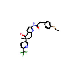 CCSc1ccc(CC(=O)Nc2ccc3c(n2)CCC(C)(c2ccc(C(F)(F)F)nc2)C3=O)cc1